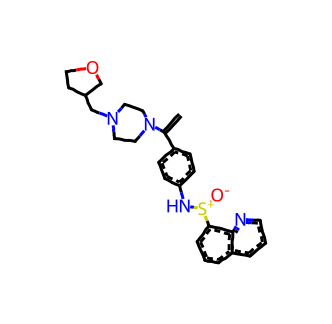 C=C(c1ccc(N[S+]([O-])c2cccc3cccnc23)cc1)N1CCN(CC2CCOC2)CC1